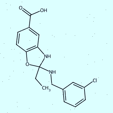 CCC1(NCc2cccc(Cl)c2)Nc2cc(C(=O)O)ccc2O1